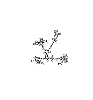 COC[C@@H]1O[C@H](CNC(=O)CCCCCCCCCCC(=O)NC(CCC(=O)NC(CCC(=O)NCCOCCOC2OC(CO)C(O)C(O)C2NC(C)=O)C(=O)NCCOCCOC2OC(CO)C(O)C(O)C2NC(C)=O)C(=O)NCCOCCOC2OC3(CO)C(O)C3(O)C2NC(C)=O)C[C@H]1O